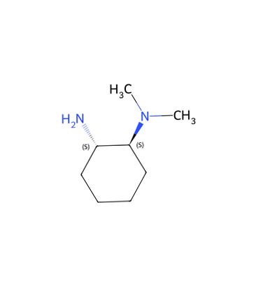 CN(C)[C@H]1CCCC[C@@H]1N